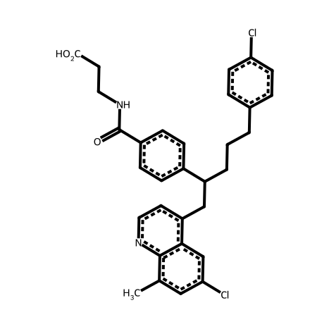 Cc1cc(Cl)cc2c(CC(CCCc3ccc(Cl)cc3)c3ccc(C(=O)NCCC(=O)O)cc3)ccnc12